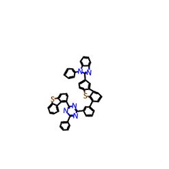 c1ccc(-c2nc(-c3cccc(-c4cccc5c4sc4ccc(-c6nc7ccccc7n6-c6ccccc6)cc45)c3)nc(-c3cccc4sc5ccccc5c34)n2)cc1